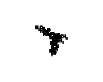 CCNC(=O)Nc1ccc(S(=O)(=O)CC)c(-c2nc3cc(C(F)(F)F)nnc3n2C)n1